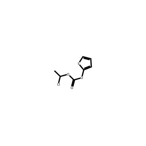 CC(Cl)OC(=O)Oc1cccs1